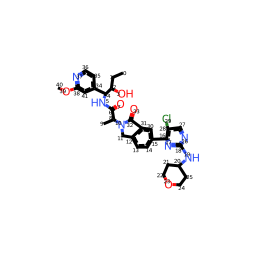 CCC(O)C(NC(=O)C(C)N1Cc2ccc(-c3nc(NC4CCOCC4)ncc3Cl)cc2C1=O)c1ccnc(OC)c1